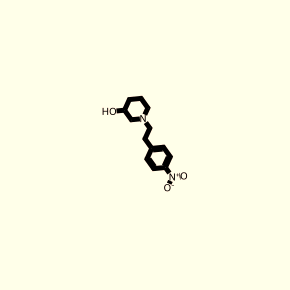 O=[N+]([O-])c1ccc(CCN2CCCC(O)C2)cc1